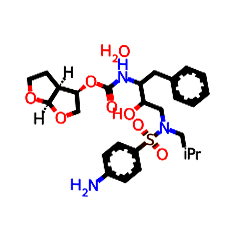 CC(C)CN(CC(O)C(Cc1ccccc1)NC(=O)O[C@H]1CO[C@H]2OCC[C@H]21)S(=O)(=O)c1ccc(N)cc1.O